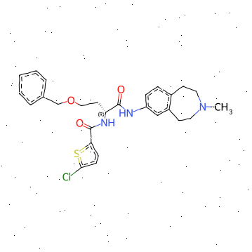 CN1CCc2ccc(NC(=O)[C@@H](CCOCc3ccccc3)NC(=O)c3ccc(Cl)s3)cc2CC1